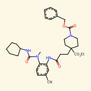 CCOC(=O)C1(CCC(=O)Nc2cc(C#N)ccc2N(C)C(=O)NC2CCCCC2)CCN(C(=O)OCc2ccccc2)CC1